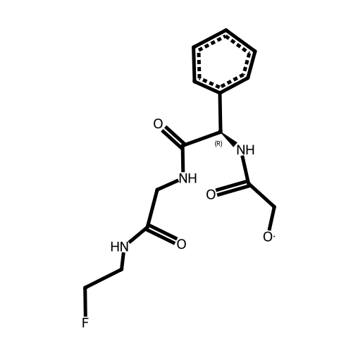 [O]CC(=O)N[C@@H](C(=O)NCC(=O)NCCF)c1ccccc1